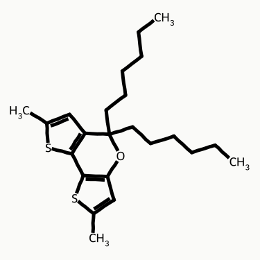 CCCCCCC1(CCCCCC)Oc2cc(C)sc2-c2sc(C)cc21